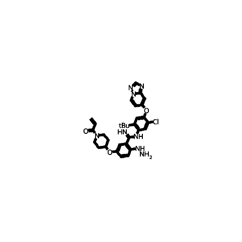 C=CC(=O)N1CCC(Oc2ccc(NN)c(C(=N)Nc3cc(Cl)c(Oc4ccn5ncnc5c4)cc3C(C)(C)C)c2)CC1